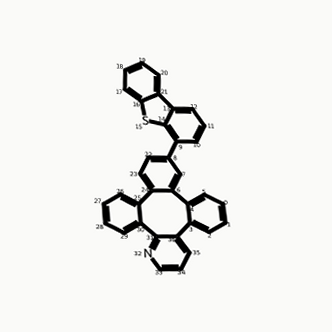 c1ccc2c(c1)-c1cc(-c3cccc4c3sc3ccccc34)ccc1-c1ccccc1-c1ncccc1-2